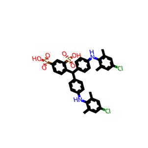 Cc1cc(Cl)cc(C)c1Nc1ccc(C(c2ccc(Nc3c(C)cc(Cl)cc3C)cc2)c2ccc(S(=O)(=O)O)cc2S(=O)(=O)O)cc1